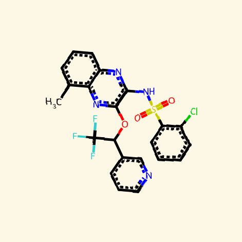 Cc1cccc2nc(NS(=O)(=O)c3ccccc3Cl)c(OC(c3cccnc3)C(F)(F)F)nc12